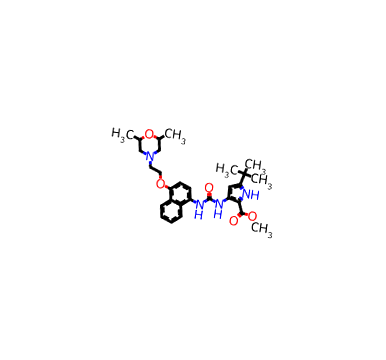 COC(=O)c1[nH]c(C(C)(C)C)cc1NC(=O)Nc1ccc(OCCN2CC(C)OC(C)C2)c2ccccc12